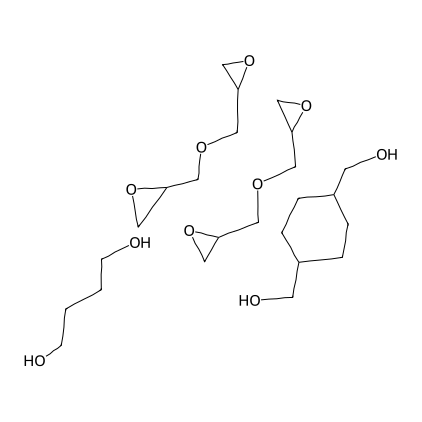 C(OCC1CO1)C1CO1.C(OCC1CO1)C1CO1.OCC1CCC(CO)CC1.OCCCCO